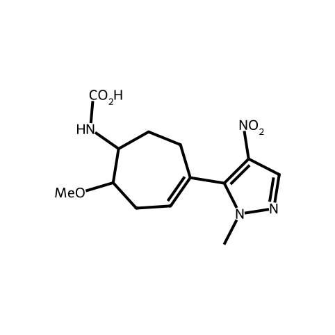 COC1CC=C(c2c([N+](=O)[O-])cnn2C)CCC1NC(=O)O